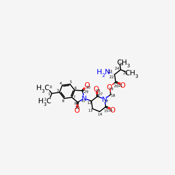 CC(C)c1ccc2c(c1)C(=O)N(C1CCC(=O)N(COC(=O)[C@H](N)C(C)C)C1=O)C2=O